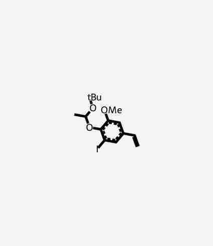 C=Cc1cc(I)c(OC(C)OC(C)(C)C)c(OC)c1